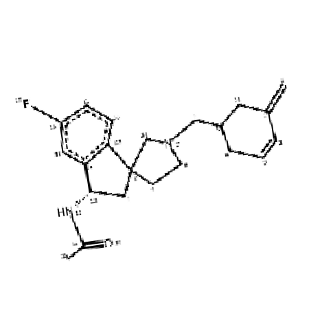 C=C1C=CCC(CN2CCC3(C[C@H](NC(C)=O)c4cc(F)ccc43)C2)C1